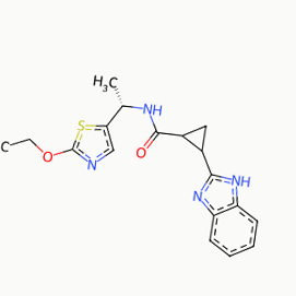 C[C@H](NC(=O)C1CC1c1nc2ccccc2[nH]1)c1cnc(OCC(F)(F)F)s1